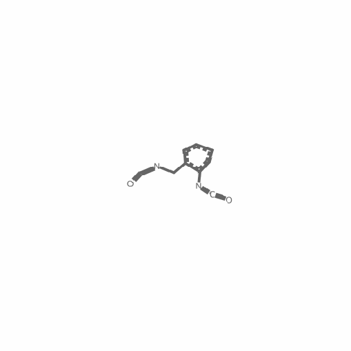 O=C=NCc1ccccc1N=C=O